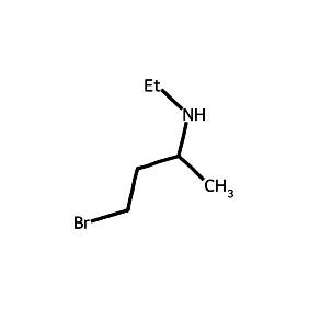 CCNC(C)CCBr